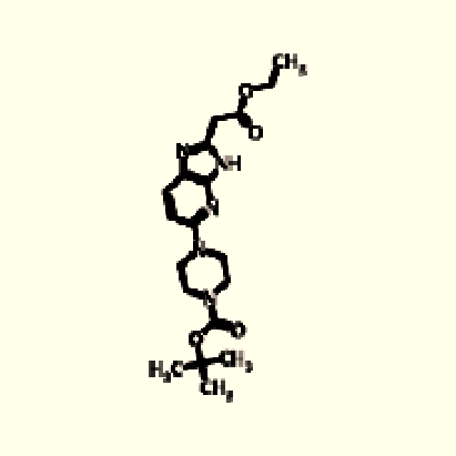 CCOC(=O)Cc1nc2ccc(N3CCN(C(=O)OC(C)(C)C)CC3)nc2[nH]1